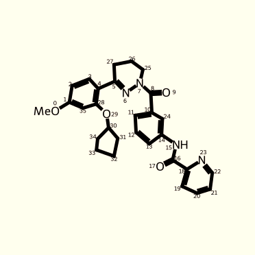 COc1ccc(C2=NN(C(=O)c3cccc(NC(=O)c4ccccn4)c3)CCC2)c(OC2CCCC2)c1